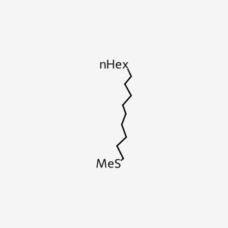 CCCCCCCCCCCCCCCSC